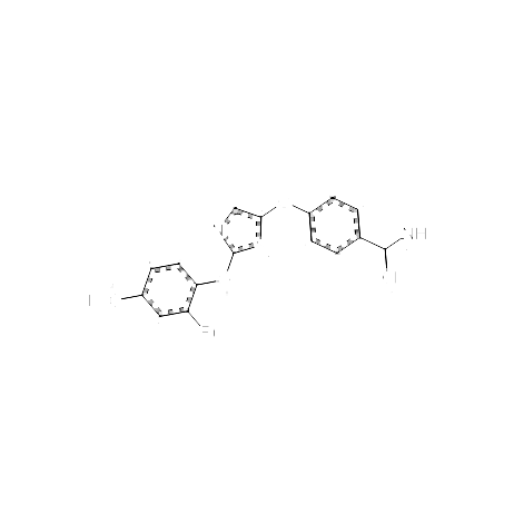 CCc1cc(C)ccc1Oc1ncc(Oc2ccc(C(C)N)cc2)s1